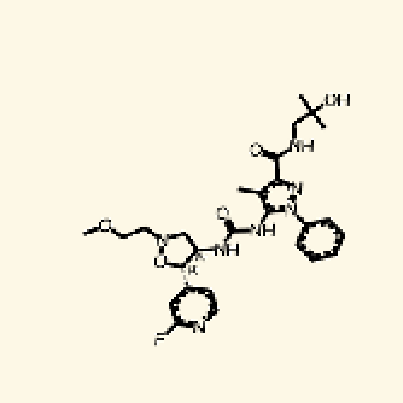 COCCN1C[C@@H](NC(=O)Nc2c(C)c(C(=O)NCC(C)(C)O)nn2-c2ccccc2)[C@H](c2ccnc(F)c2)O1